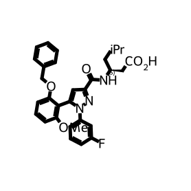 COc1cccc(OCc2ccccc2)c1-c1cc(C(=O)N[C@H](CC(=O)O)CC(C)C)nn1-c1cccc(F)c1